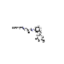 CCCCC/C=C/CC(O)/C=C/c1cccc(CC2CCCC(=O)O2)n1